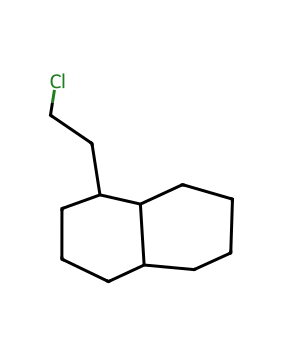 ClCCC1CCCC2CCCCC12